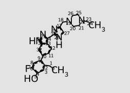 CCc1cc(O)c(F)cc1-c1ccc2c(-c3nc(CN4CCN(CC)CC4)c[nH]3)n[nH]c2c1